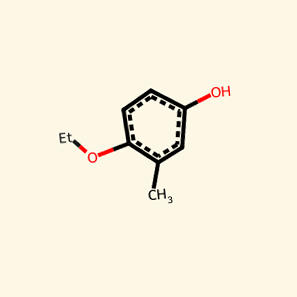 CCOc1ccc(O)cc1C